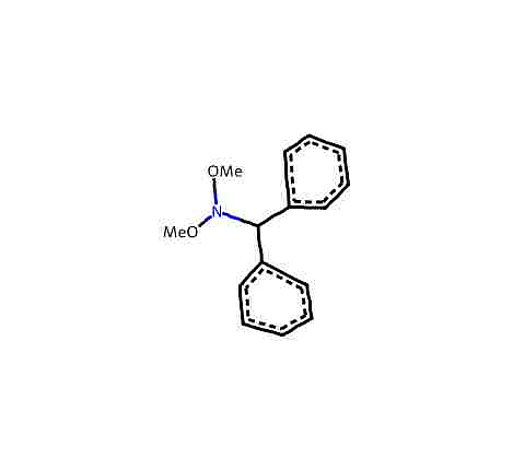 CON(OC)C(c1ccccc1)c1ccccc1